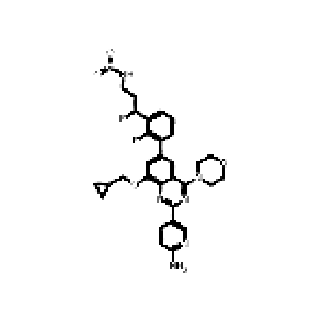 Nc1ccc(-c2nc(N3CCOCC3)c3cc(-c4cccc(C(F)CCN[SH](=O)=O)c4F)cc(OCC4CC4)c3n2)cn1